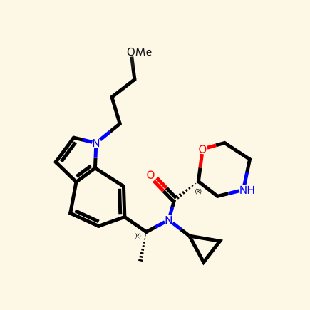 COCCCn1ccc2ccc([C@@H](C)N(C(=O)[C@H]3CNCCO3)C3CC3)cc21